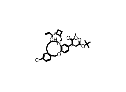 C=CC(O)[C@@H]1CC[C@H]1CN1CCCCc2cc(Cl)ccc2COc2ccc([C@H](CC(=O)OC(C)(C)C)C(=O)OC)cc21